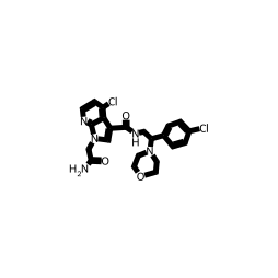 NC(=O)Cn1cc(C(=O)NCC(c2ccc(Cl)cc2)N2CCOCC2)c2c(Cl)ccnc21